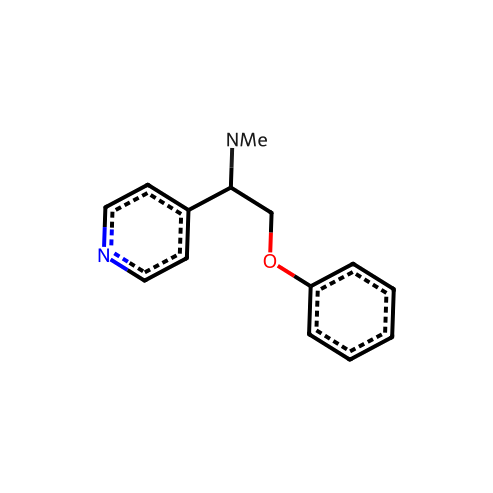 CNC(COc1ccccc1)c1ccncc1